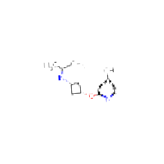 Cc1ccnc(O[C@H]2C[C@H](NC(C)C)C2)c1